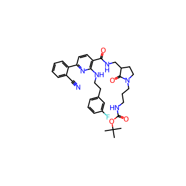 CC(C)(C)OC(=O)NCCCN1CCC(CNC(=O)c2ccc(-c3ccccc3C#N)nc2NCCc2cccc(F)c2)C1=O